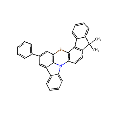 CC1(C)c2ccccc2-c2c1ccc1c2Sc2cc(-c3ccccc3)cc3c4ccccc4n-1c23